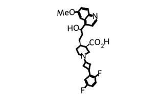 COc1ccc2nccc([C@@H](O)CC[C@@H]3CCN(C4CC(c5cc(F)ccc5F)C4)C[C@@H]3C(=O)O)c2c1